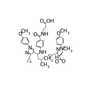 COc1ccc(-n2cc(C(CC(C)C)Nc3ccc(C(=O)NCCC(=O)O)cc3)c(C3CC3)n2)cc1.COc1ccc([N+]2(C)C=C(C(=O)O)C(C3CC3)=N2)cc1